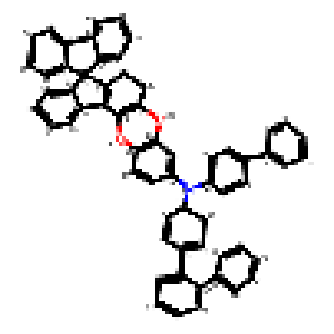 C1=CC(N(c2ccc(-c3ccccc3)cc2)c2ccc3c(c2)OC2=C(O3)C3=C(CC2)C2(c4ccccc43)c3ccccc3-c3ccccc32)CC=C1c1ccccc1-c1ccccc1